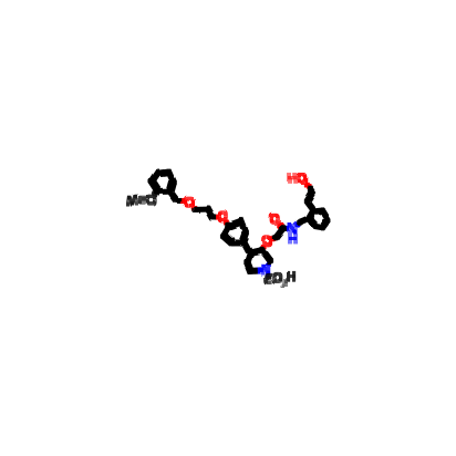 COc1ccccc1COCCCOc1ccc(C2CCN(C(=O)O)CC2OCC(=O)NCc2ccccc2CCO)cc1